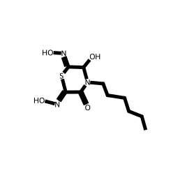 CCCCCCN1C(=O)/C(=N/O)S/C(=N\O)C1O